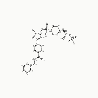 Cc1oc(-c2ccc(C(=O)NCc3cccnc3)cc2)nc1CS(=O)(=O)[C@H]1CC[C@H](NC(=O)OC(C)(C)C)CC1